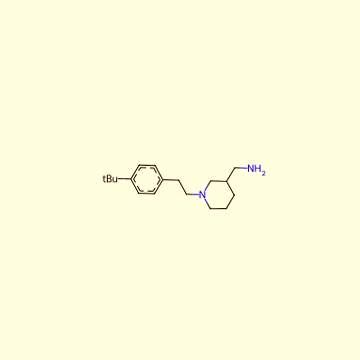 CC(C)(C)c1ccc(CCN2CCCC(CN)C2)cc1